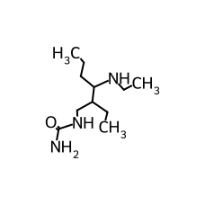 CCCC(NCC)C(CC)CNC(N)=O